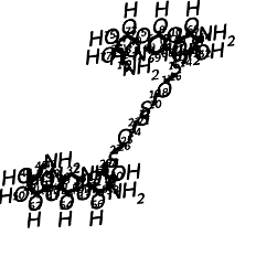 NCC1O[C@H](OC2C(O)[C@@H](O[C@H]3OC(CSCCOCCSSCCOCCSCC4O[C@H](O[C@H]5C(N)C[C@H](N)[C@H](O[C@H]6OC(CN)[C@@H](O)[C@H](O)C6O)C5O)C(O)C(N)[C@@H]4O)[C@@H](O)[C@H](N)C3O)[C@H](N)C[C@@H]2N)C(O)C(O)[C@@H]1O